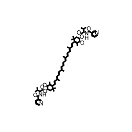 CC1=C(/C=C/C(C)=C/C=C/C(C)=C/C=C/C=C(C)/C=C/C=C(C)/C=C/C2=C(C)C(=O)[C@@H](OC(=O)[C@@H](NC(=O)c3cccnc3)C(C)C)CC2(C)C)C(C)(C)C[C@H](OC(=O)[C@@H](NC(=O)c2cccnc2)C(C)C)C1=O